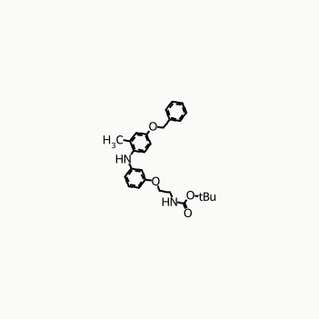 Cc1cc(OCc2ccccc2)ccc1Nc1cccc(OCCNC(=O)OC(C)(C)C)c1